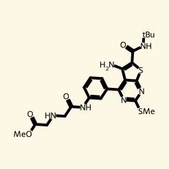 COC(=O)CNCC(=O)Nc1cccc(-c2nc(SC)nc3sc(C(=O)NC(C)(C)C)c(N)c23)c1